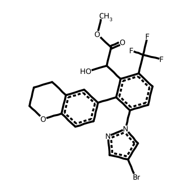 COC(=O)C(O)c1c(C(F)(F)F)ccc(-n2cc(Br)cn2)c1-c1ccc2c(c1)CCCO2